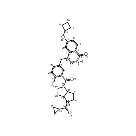 O=C(c1cc(Cc2n[nH]c(=O)c3ccc(OC4CCC4)cc23)ccc1F)N1CCC2C1CCN2C(=O)C1CC1